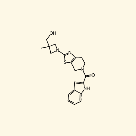 CC1(CO)CN(c2nc3c(s2)CN(C(=O)c2cc4ccccc4[nH]2)CC3)C1